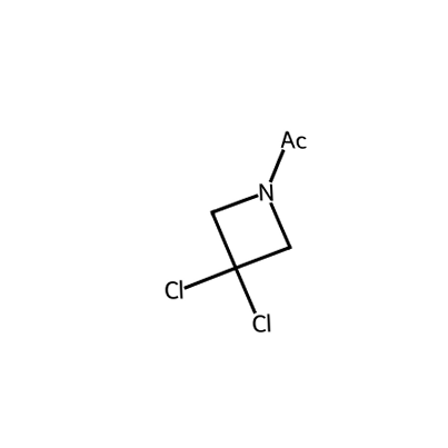 CC(=O)N1CC(Cl)(Cl)C1